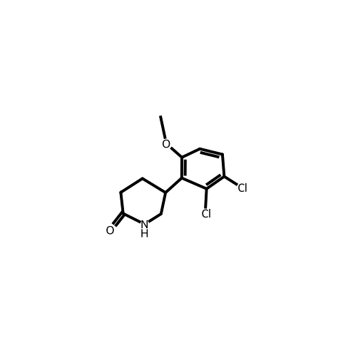 COc1ccc(Cl)c(Cl)c1C1CCC(=O)NC1